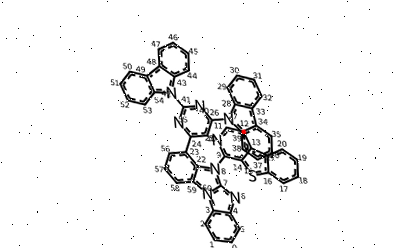 c1ccc2c(c1)nc1n(-c3nccc4c3sc3ccccc34)c3c(-c4cc(-n5c6ccccc6c6ccccc65)nc(-n5c6ccccc6c6ccccc65)n4)cccc3n21